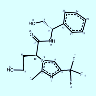 Cc1nc(C(F)(F)F)cn1[C@@H](CCO)C(=O)N[C@H](CO)c1ccccc1